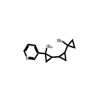 CC(C)(C)C1(C2CC2C2CC2(c2cccnc2)C(C)(C)C)CC1